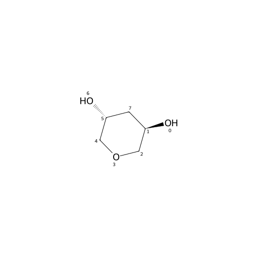 O[C@H]1COC[C@H](O)C1